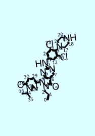 C=CCn1c(=O)c2cnc(Nc3cc(Cl)c(N4CCNCC4)c(Cl)c3)nc2n1-c1ccc(=O)n(C(C)C)n1